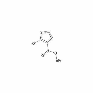 CCCOC(=O)c1ccsc1[O]